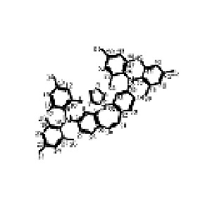 CC[Si]1(CC)c2cc(N(c3c(C)cc(C)cc3C)c3c(C)cc(C)cc3C)ccc2C=Cc2ccc(N(c3c(C)cc(C)cc3C)c3c(C)cc(C)cc3C)cc21